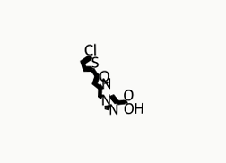 O=C(O)c1cn(Cc2cc(-c3ccc(Cl)s3)on2)cn1